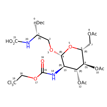 CCCCCCCCCC[C@H](CO[C@@H]1O[C@H](COC(C)=O)[C@@H](OC(C)=O)[C@H](OC(C)=O)[C@H]1NC(=O)OCC(Cl)(Cl)Cl)NC(=O)O